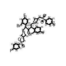 O=C(C(CN1CC(CS(=O)(=O)c2ccc(F)cc2)C1)c1ccc(F)cc1Br)C(CN1CC(CS(=O)(=O)c2ccc(F)cc2)C1)c1ccc(F)cc1Br